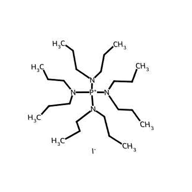 CCCN(CCC)[P+](N(CCC)CCC)(N(CCC)CCC)N(CCC)CCC.[I-]